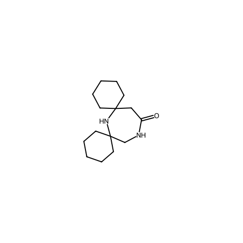 O=C1CC2(CCCCC2)NC2(CCCCC2)CN1